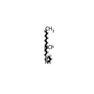 CCCCCCCCCCCCN1C=CC=NC1.Cl